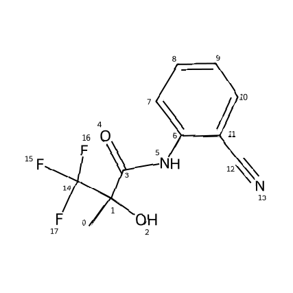 CC(O)(C(=O)Nc1ccccc1C#N)C(F)(F)F